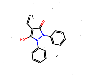 C=Cc1c(O)n(-c2ccccc2)n(-c2ccccc2)c1=O